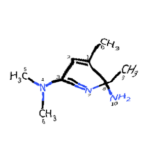 CC1=CC(N(C)C)=NC1(C)N